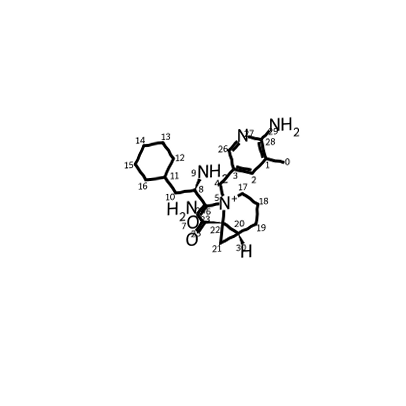 Cc1cc(C[N+]2(C(=O)[C@H](N)CC3CCCCC3)CCC[C@@H]3C[C@@]32C(N)=O)cnc1N